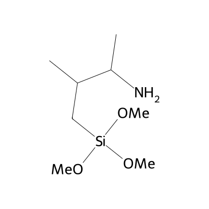 CO[Si](CC(C)C(C)N)(OC)OC